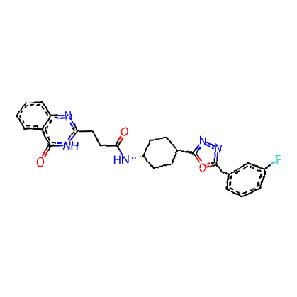 O=C(CCc1nc2ccccc2c(=O)[nH]1)N[C@H]1CC[C@H](c2nnc(-c3cccc(F)c3)o2)CC1